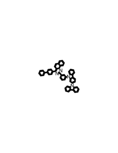 c1ccc(-c2ccc(-c3nc(-c4cccc(-n5c6ccccc6c6ccc(-n7c8ccccc8c8ccccc87)cc65)c4)nc4c3ccc3ccccc34)cc2)cc1